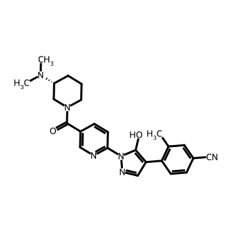 Cc1cc(C#N)ccc1-c1cnn(-c2ccc(C(=O)N3CCC[C@@H](N(C)C)C3)cn2)c1O